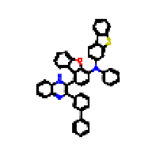 C1=CC2=NC(c3cccc(-c4ccccc4)c3)=C(c3ccc(N(c4ccccc4)c4ccc5c(c4)sc4ccccc45)c4oc5ccccc5c34)NC2C=C1